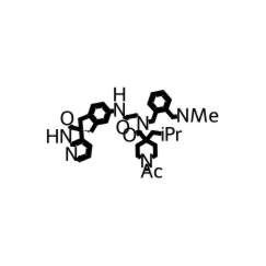 CNCc1ccccc1CN(CC(=O)Nc1ccc2c(c1)C[C@@]1(C2)C(=O)Nc2ncccc21)C(=O)C1(CC(C)C)CCN(C(C)=O)CC1